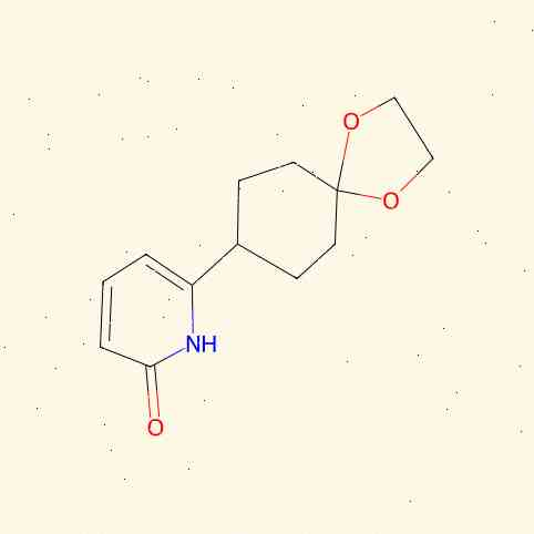 O=c1cccc(C2CCC3(CC2)OCCO3)[nH]1